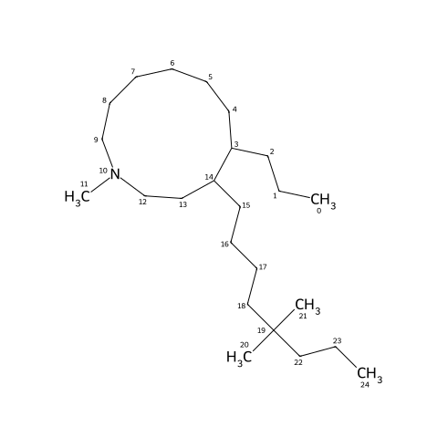 CCCC1CCCCCCN(C)CCC1CCCCC(C)(C)CCC